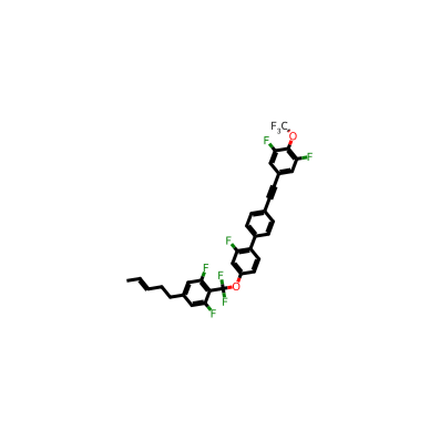 C/C=C/CCc1cc(F)c(C(F)(F)Oc2ccc(-c3ccc(C#Cc4cc(F)c(OC(F)(F)F)c(F)c4)cc3)c(F)c2)c(F)c1